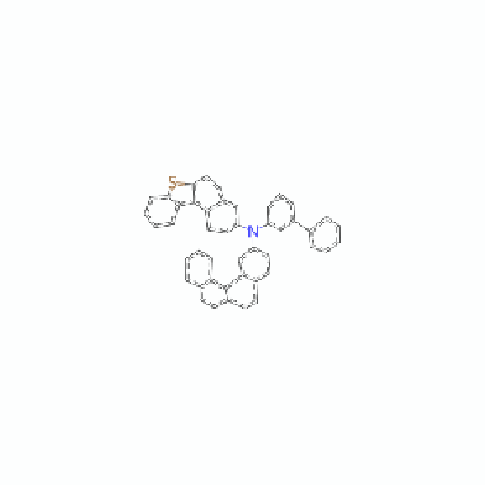 c1ccc(-c2cccc(N(c3ccc4c(ccc5sc6ccccc6c54)c3)c3ccc4ccc5ccc6ccccc6c5c4c3)c2)cc1